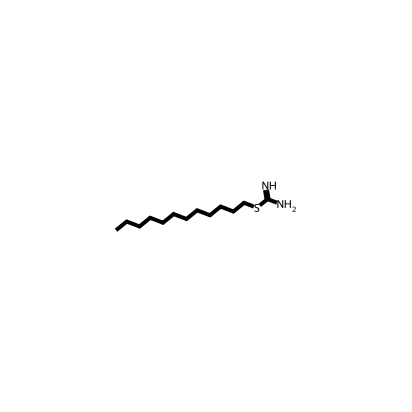 CCCCCCCCCCCCSC(=N)N